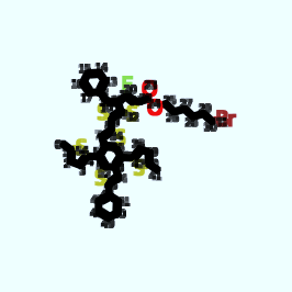 Cc1ccc(-c2c3cc(-c4sc(-c5ccccc5)c5c(F)c(C(=O)OCCCCCCBr)sc45)sc3c(-c3ccc(C)s3)c3cc(-c4ccccc4)sc23)s1